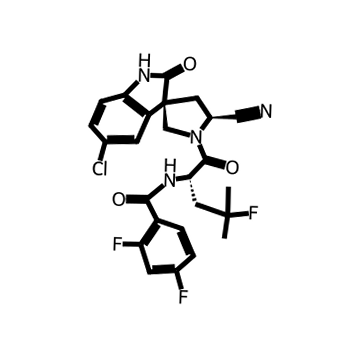 CC(C)(F)C[C@H](NC(=O)c1ccc(F)cc1F)C(=O)N1C[C@]2(C[C@H]1C#N)C(=O)Nc1ccc(Cl)cc12